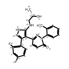 Cc1ccccc1-n1nc(-c2c(-c3ccc(F)cc3F)n[nH]c2NC[C@H](C)O)ccc1=O